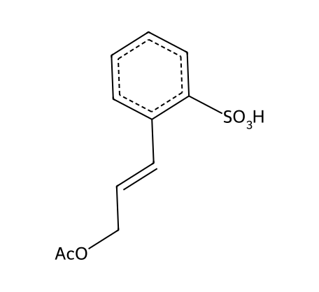 CC(=O)OCC=Cc1ccccc1S(=O)(=O)O